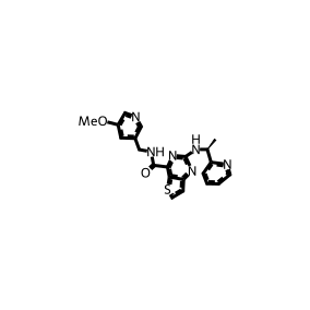 COc1cncc(CNC(=O)c2nc(N[C@@H](C)c3ccccn3)nc3ccsc23)c1